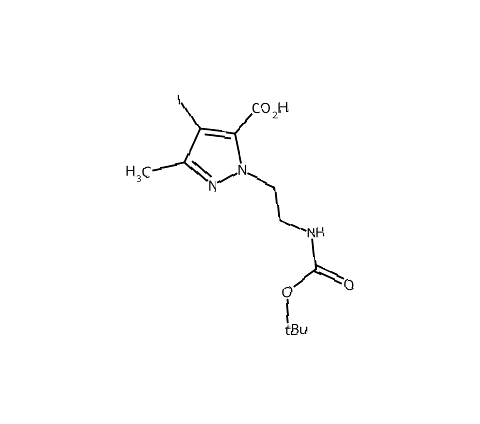 Cc1nn(CCNC(=O)OC(C)(C)C)c(C(=O)O)c1I